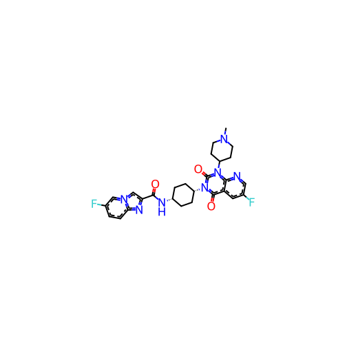 CN1CCC(n2c(=O)n([C@H]3CC[C@@H](NC(=O)c4cn5cc(F)ccc5n4)CC3)c(=O)c3cc(F)cnc32)CC1